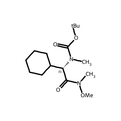 CON(C)C(=O)[C@H](C1CCCCC1)N(C)C(=O)OC(C)(C)C